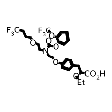 CCOC(Cc1ccc(OCCN(CCOCCCC(F)(F)F)C(=O)Oc2ccccc2OC(F)(F)F)cc1)C(=O)O